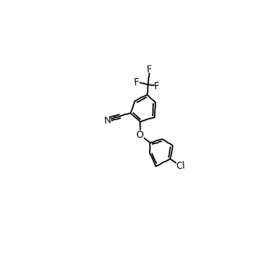 N#Cc1cc(C(F)(F)F)ccc1Oc1ccc(Cl)cc1